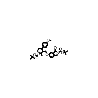 COc1ccc(C2CCN(C(=O)OC(C)(C)C)C(C)C2COc2ccc3c(c2)C(=O)N(C(=O)OC(C)(C)C)C3)cc1